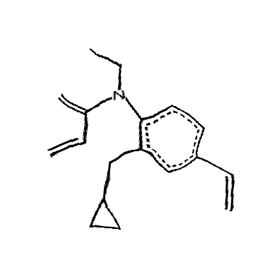 C=CC(=C)N(CC)c1ccc(C=C)cc1CC1CC1